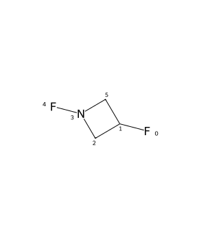 FC1CN(F)C1